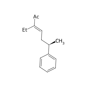 CC/C(=C\C[C@@H](C)c1ccccc1)C(C)=O